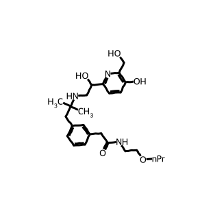 CCCOCCNC(=O)Cc1cccc(CC(C)(C)NCC(O)c2ccc(O)c(CO)n2)c1